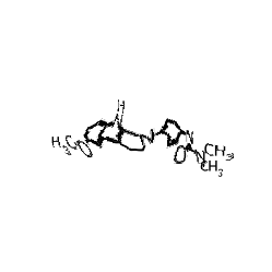 COc1ccc2[nH]c3c(c2c1)CCN(c1ccc2nc(N(C)C)oc2c1)C3